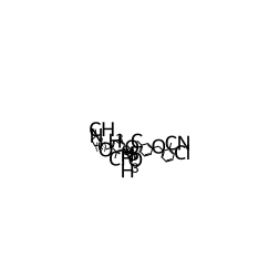 Cc1cc(Oc2cccc(Cl)c2C#N)ccc1S(=O)(=O)Nc1cccc(O[C@@H]2CCN(C)C2)c1C(F)(F)F